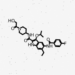 CCc1cc2[nH]c(C(=O)NC3CCN(C(=O)CO)CC3)c(OC(C)C)c2cc1NC(=O)c1ccc(F)cc1